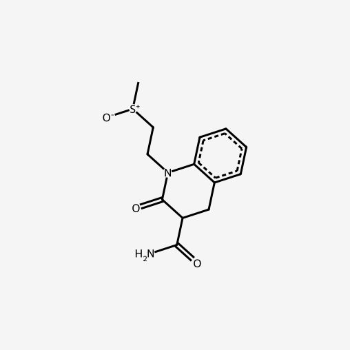 C[S+]([O-])CCN1C(=O)C(C(N)=O)Cc2ccccc21